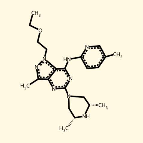 CCOCCn1nc(C)c2nc(N3C[C@@H](C)N[C@@H](C)C3)nc(Nc3ccc(C)cn3)c21